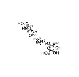 O=C(CCc1cn(CCOC2OC(CO)C(O)C(O)C2O)nn1)N[C@H]1CN[C@H](C(=O)O)C1